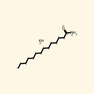 CCCCCCCCCCCCCC(N)=O.[KH]